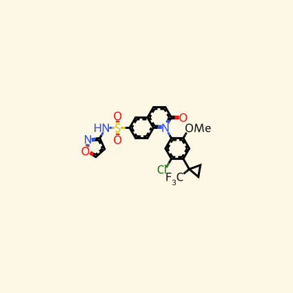 COc1cc(C2(C(F)(F)F)CC2)c(Cl)cc1-n1c(=O)ccc2cc(S(=O)(=O)Nc3ccon3)ccc21